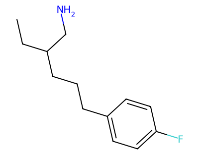 CCC(CN)CCCc1ccc(F)cc1